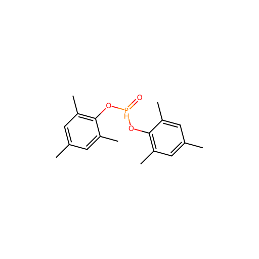 Cc1cc(C)c(O[PH](=O)Oc2c(C)cc(C)cc2C)c(C)c1